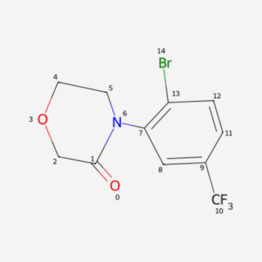 O=C1COCCN1c1cc(C(F)(F)F)ccc1Br